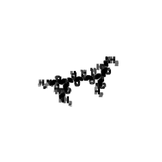 NCCNC(=O)CCN(CCNC(=O)CCNCCC(=O)NCCN(CCC(=O)NCCN)CCC(=O)NCCN)CCC(N)=O